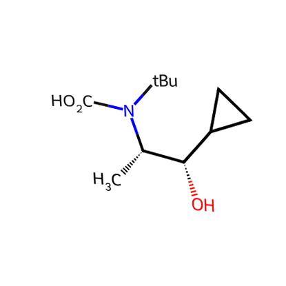 C[C@@H]([C@@H](O)C1CC1)N(C(=O)O)C(C)(C)C